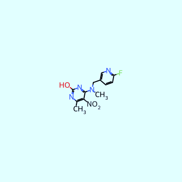 Cc1nc(O)nc(N(C)Cc2ccc(F)nc2)c1[N+](=O)[O-]